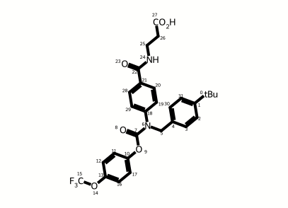 CC(C)(C)c1ccc(CN(C(=O)Oc2ccc(OC(F)(F)F)cc2)c2ccc(C(=O)NCCC(=O)O)cc2)cc1